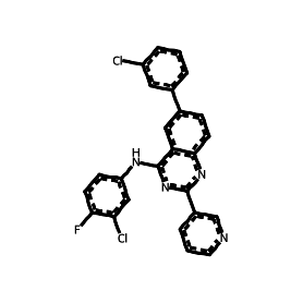 Fc1ccc(Nc2nc(-c3cccnc3)nc3ccc(-c4cccc(Cl)c4)cc23)cc1Cl